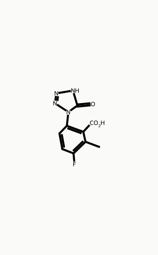 Cc1c(F)ccc(-n2nn[nH]c2=O)c1C(=O)O